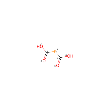 O=C(O)[P]C(=O)O